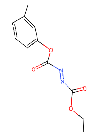 CCOC(=O)N=NC(=O)Oc1cccc(C)c1